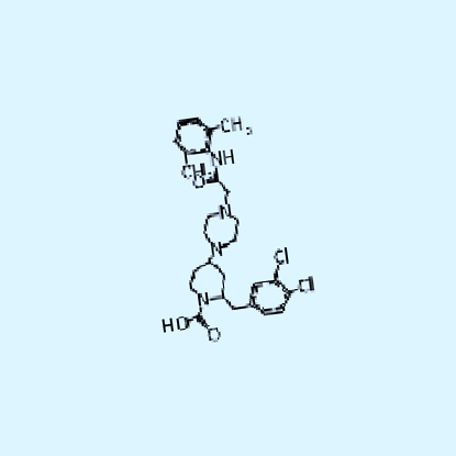 Cc1cccc(C)c1NC(=O)CN1CCN(C2CCN(C(=O)O)C(Cc3ccc(Cl)c(Cl)c3)C2)CC1